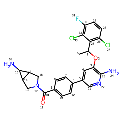 CC(Oc1cc(-c2ccc(C(=O)N3CC4C(N)C4C3)cc2)cnc1N)c1c(Cl)ccc(F)c1Cl